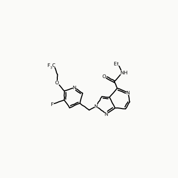 CCNC(=O)c1nccc2nn(Cc3cnc(OCC(F)(F)F)c(F)c3)cc12